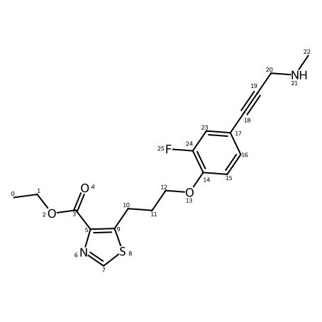 CCOC(=O)c1ncsc1CCCOc1ccc(C#CCNC)cc1F